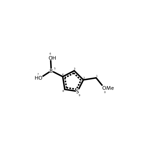 COCc1cc(B(O)O)cs1